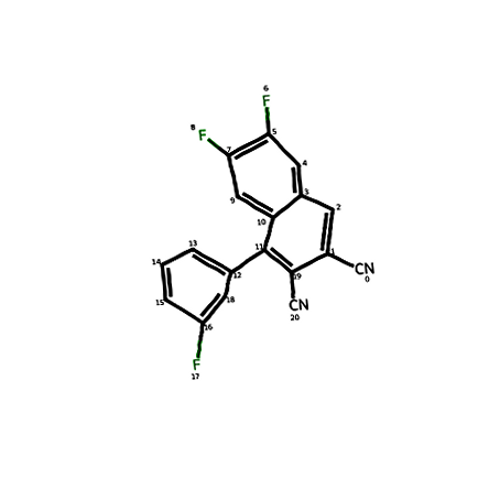 N#Cc1cc2cc(F)c(F)cc2c(-c2cccc(F)c2)c1C#N